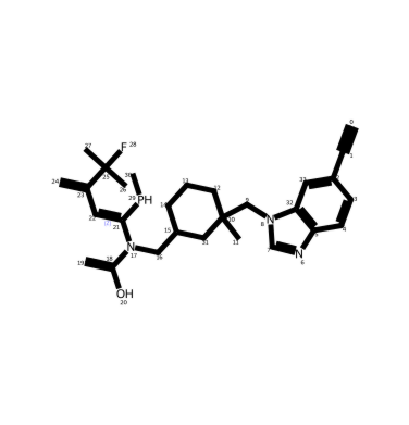 C#Cc1ccc2ncn(CC3(C)CCCC(CN(C(=C)O)/C(=C/C(=C)C(C)(C)F)PC)C3)c2c1